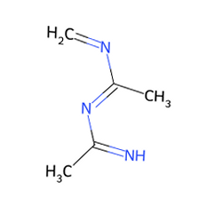 C=NC(C)=NC(C)=N